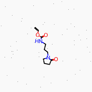 C=COC(=O)NCCCN1CCCC1=O